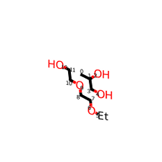 CC(O)CO.CCOCCOCCO